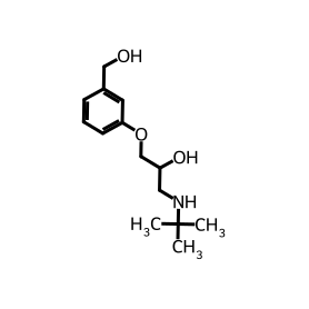 CC(C)(C)NCC(O)COc1cccc(CO)c1